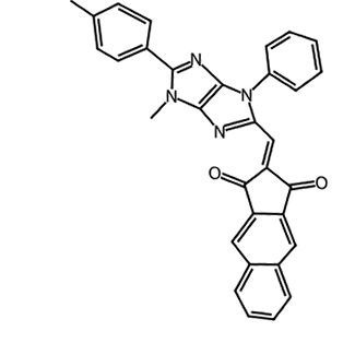 Cc1ccc(-c2nc3c(nc(C=C4C(=O)c5cc6ccccc6cc5C4=O)n3-c3ccccc3)n2C)cc1